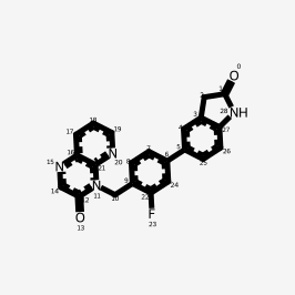 O=C1Cc2cc(-c3ccc(Cn4c(=O)cnc5cccnc54)c(F)c3)ccc2N1